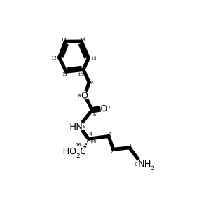 NCCC[C@@H](NC(=O)OCc1ccccc1)C(=O)O